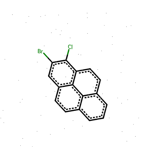 Clc1c(Br)cc2ccc3cccc4ccc1c2c34